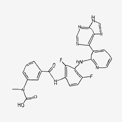 CN(C(=O)O)c1cccc(C(=O)Nc2ccc(F)c(Nc3ncccc3-c3ncnc4[nH]cnc34)c2F)c1